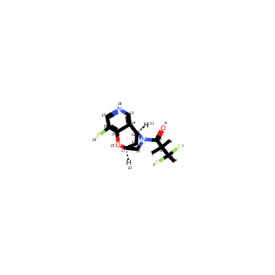 CC(F)(F)C(C)(C)C(=O)N1C[C@@H]2C[C@H]1c1cncc(F)c1O2